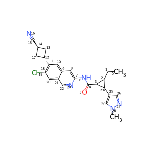 CCC1C(C(=O)Nc2cc3cc([C@H]4C[C@H](C#N)C4)c(Cl)cc3cn2)C1c1cnn(C)c1